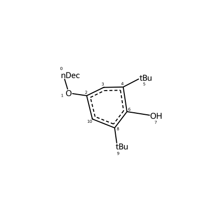 CCCCCCCCCCOc1cc(C(C)(C)C)c(O)c(C(C)(C)C)c1